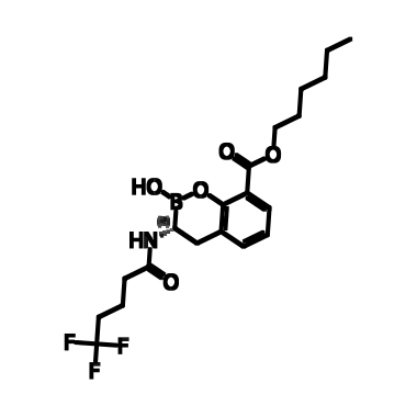 CCCCCCOC(=O)c1cccc2c1OB(O)[C@@H](NC(=O)CCCC(F)(F)F)C2